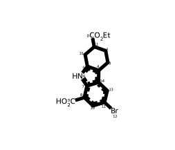 CCOC(=O)C1CCc2c([nH]c3c(C(=O)O)cc(Br)cc23)C1